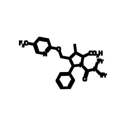 CC1C(COc2ccc(C(F)(F)F)cn2)C(c2ccccc2)N(C(=O)N(C(C)C)C(C)C)C1C(=O)O